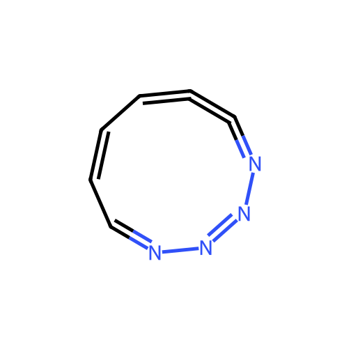 C1=C=NN=NN=CC=CC=1